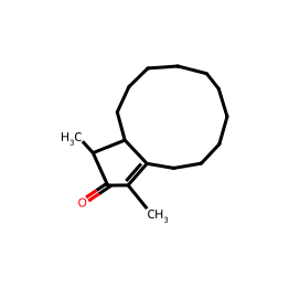 CC1=C2CCCCCCCCCCC2C(C)C1=O